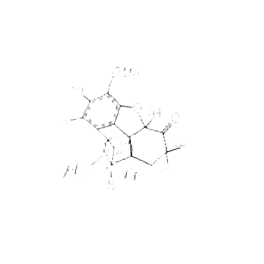 [2H]c1c([2H])c(OC)c2c3c1C[C@@H]1[C@@H]4CC([2H])([2H])C(=O)C([2H])(O2)[C@]34CCN1C